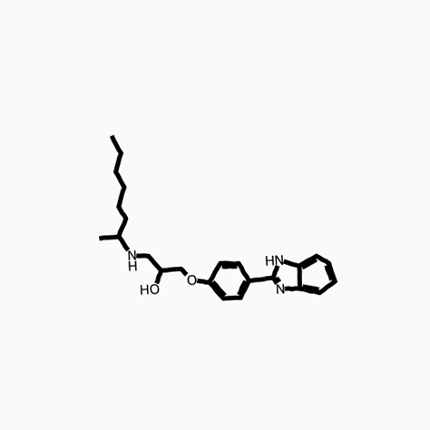 CCCCCCC(C)NCC(O)COc1ccc(-c2nc3ccccc3[nH]2)cc1